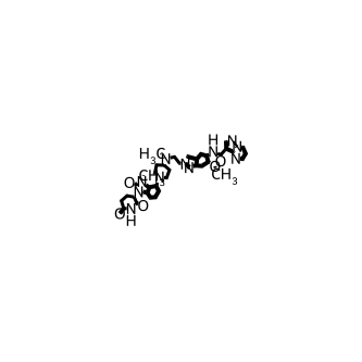 COc1cc2nn(CCN(C)C3CCN(c4cccc5c4n(C)c(=O)n5C4CCC(=O)NC4=O)CC3)cc2cc1NC(=O)c1cnn2cccnc12